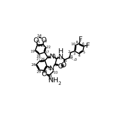 C[C@@H](Cc1ccc(F)c(F)c1)C(=O)NC1N=C(c2ccc3c(c2)OCO3)c2ccccc2N(CC(N)=O)C1=O